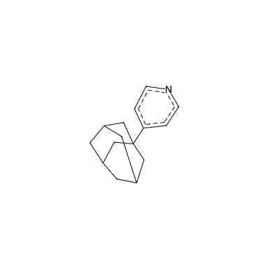 c1cc(C23CC4CC(CC(C4)C2)C3)ccn1